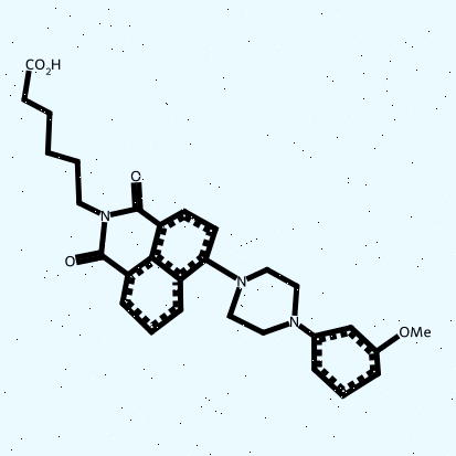 COc1cccc(N2CCN(c3ccc4c5c(cccc35)C(=O)N(CCCCCC(=O)O)C4=O)CC2)c1